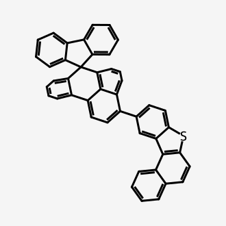 c1ccc2c(c1)-c1ccccc1C21c2ccccc2-c2ccc(-c3ccc4sc5ccc6ccccc6c5c4c3)c3cccc1c23